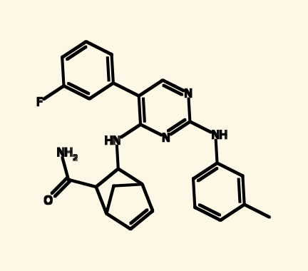 Cc1cccc(Nc2ncc(-c3cccc(F)c3)c(NC3C4C=CC(C4)C3C(N)=O)n2)c1